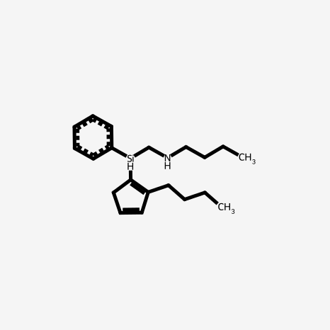 CCCCNC[SiH](C1=C(CCCC)C=CC1)c1ccccc1